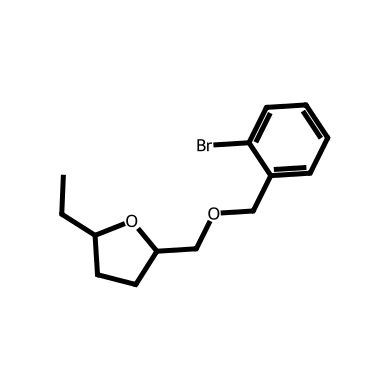 CCC1CCC(COCc2ccccc2Br)O1